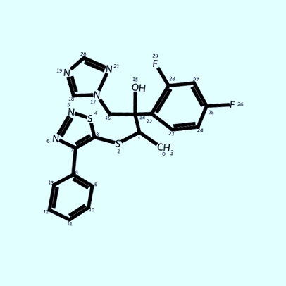 CC(Sc1snnc1-c1ccccc1)C(O)(Cn1cncn1)c1ccc(F)cc1F